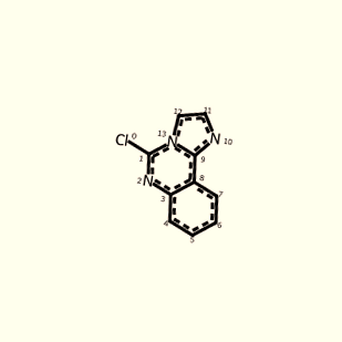 Clc1nc2ccccc2c2nccn12